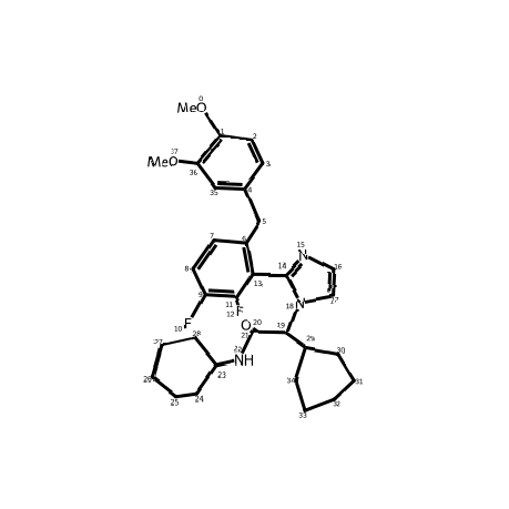 COc1ccc(Cc2ccc(F)c(F)c2-c2nccn2C(C(=O)NC2CCCCC2)C2CCCCC2)cc1OC